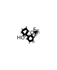 Oc1ccccc1-c1ccccc1OC(F)(F)F